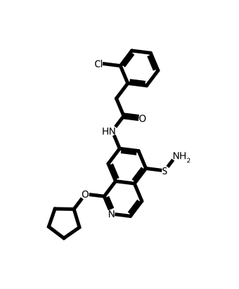 NSc1cc(NC(=O)Cc2ccccc2Cl)cc2c(OC3CCCC3)nccc12